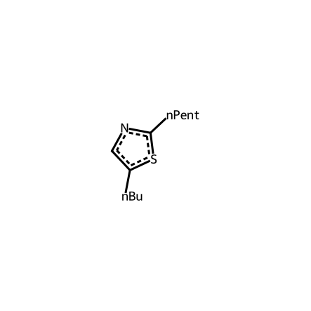 CCCCCc1ncc(CCCC)s1